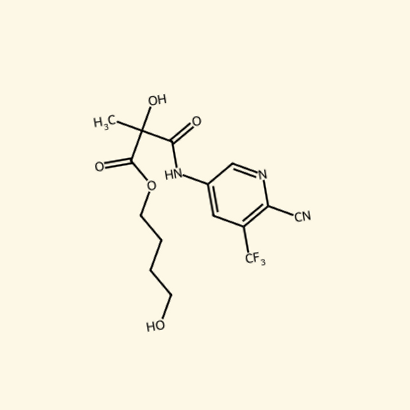 CC(O)(C(=O)Nc1cnc(C#N)c(C(F)(F)F)c1)C(=O)OCCCCO